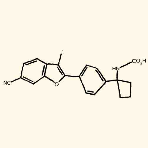 N#Cc1ccc2c(I)c(-c3ccc(C4(NC(=O)O)CCC4)cc3)oc2c1